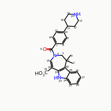 CC1(C)CN(C(=O)c2ccc(C3CCNCC3)cc2)C=C(C(=O)O)c2[nH]c3ccccc3c21